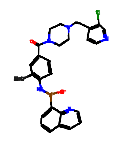 COc1cc(C(=O)N2CCN(Cc3ccncc3Cl)CC2)ccc1N[S+]([O-])c1cccc2cccnc12